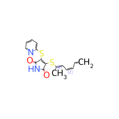 C=C/C=C\C=C(/C)SC1=C(Sc2ccccn2)C(=O)NC1=O